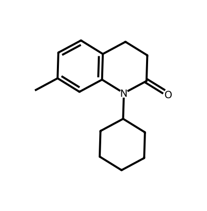 Cc1ccc2c(c1)N(C1CCCCC1)C(=O)CC2